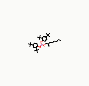 C=C(CCCCCC)COP(Oc1ccc(C(C)(C)C)cc1C(C)(C)C)Oc1ccc(C(C)(C)C)cc1C(C)(C)C